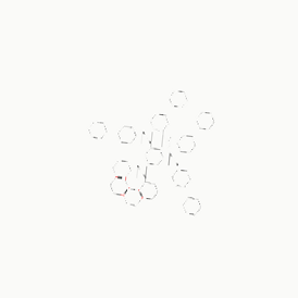 c1ccc(-c2ccc(N3c4ccc(-c5ccccc5)cc4B4c5cc(-c6ccccc6)ccc5N(c5ccc(-c6ccccc6)cc5)c5cc(N(c6ccccc6-c6ccccc6)c6ccccc6-c6ccccc6)cc3c54)cc2)cc1